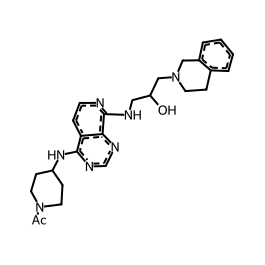 CC(=O)N1CCC(Nc2ncnc3c(NCC(O)CN4CCc5ccccc5C4)nccc23)CC1